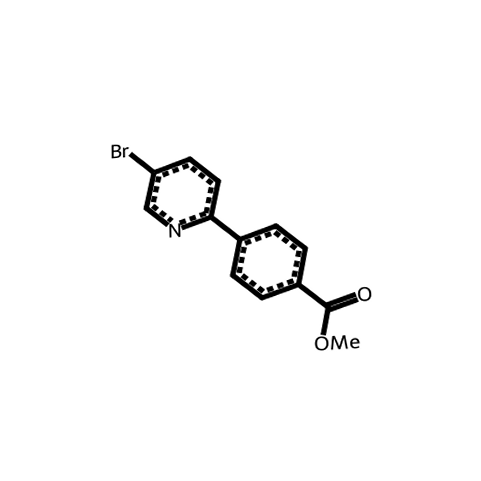 COC(=O)c1ccc(-c2ccc(Br)cn2)cc1